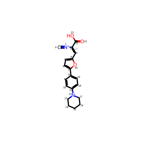 [C-]#[N+]/C(=C\c1ccc(-c2ccc(N3CCCCC3)cc2)o1)C(=O)O